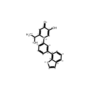 CC(O)c1cc(=O)c(O)cn1-c1cccc(-c2cccc3ccsc23)c1